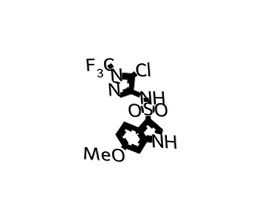 COc1ccc2c(S(=O)(=O)Nc3cnn(C(F)(F)F)c3Cl)c[nH]c2c1